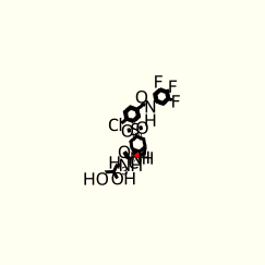 C[C@H]1CC2C[C@@H](S(=O)(=O)c3cc(C(=O)Nc4cc(F)c(F)c(F)c4)ccc3Cl)CC1[C@@H]2NC(=O)NCC(O)CO